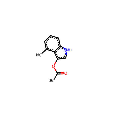 CC(C)(C)C(=O)Oc1c[nH]c2cccc(C#N)c12